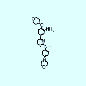 Nc1cc(-c2ccnc(Nc3ccc(N4CCOCC4)cc3)n2)ccc1OC1CCOCC1